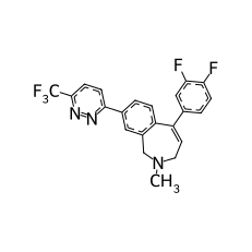 CN1CC=C(c2ccc(F)c(F)c2)c2ccc(-c3ccc(C(F)(F)F)nn3)cc2C1